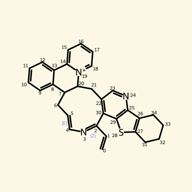 C=C/C1=N/C=C/CC2c3ccccc3-c3cccc[n+]3C2Cc2cnc3c4c(sc3c21)CCCC4